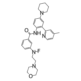 Cc1ccnc(-c2cc(N3CCCCC3)ccc2NC(=O)c2cccc(N(F)CCN3CCOCC3)c2)c1